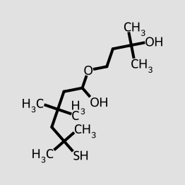 CC(C)(O)CCOC(O)CC(C)(C)CC(C)(C)S